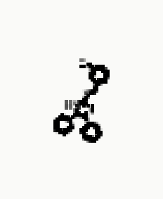 Clc1cccc(CSC2=N[C@@H](c3ccccc3)[C@@H](c3ccccc3)N2)c1